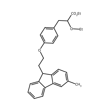 CCOC(=O)C(Cc1ccc(OCCC2c3ccccc3-c3cc(C)ccc32)cc1)OCC